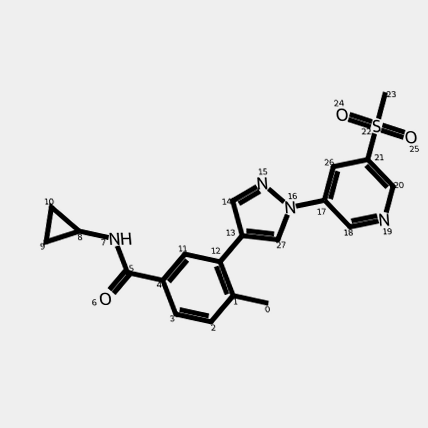 Cc1ccc(C(=O)NC2CC2)cc1-c1cnn(-c2cncc(S(C)(=O)=O)c2)c1